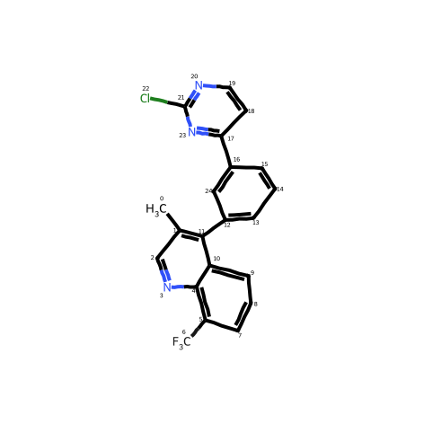 Cc1cnc2c(C(F)(F)F)cccc2c1-c1cccc(-c2ccnc(Cl)n2)c1